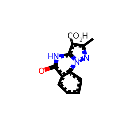 Cc1nn2c([nH]c(=O)c3ccccc32)c1C(=O)O